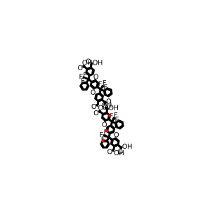 O=C(O)c1cc2c(cc1C(=O)O)C(c1ccccc1)(C(F)(F)F)c1cc3c(cc1O2)C(c1ccccc1)(C(F)(F)F)c1cc(C(=O)O)c(C(=O)OC(=O)c2cc4c(cc2C(=O)O)C(c2ccccc2)(C(F)(F)F)c2cc5c(cc2O4)C(c2ccccc2)(C(F)(F)F)c2cc(C(=O)O)c(C(=O)O)cc2O5)cc1O3